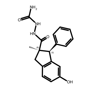 C[C@@]1(C(=O)NNC(N)=O)Cc2ccc(O)cc2[C@@H]1c1ccccc1